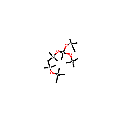 C[Si](C)(C)O[Si](C)(C)C[Si](C)(C)O[Si](C)(O[Si](C)(C)C)O[Si](C)(C)C